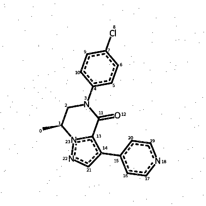 C[C@H]1CN(c2ccc(Cl)cc2)C(=O)c2c(-c3ccncc3)cnn21